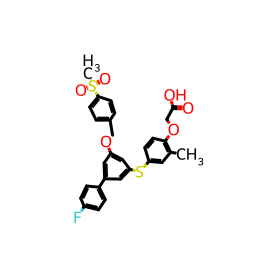 Cc1cc(Sc2cc(OCc3ccc(S(C)(=O)=O)cc3)cc(-c3ccc(F)cc3)c2)ccc1OCC(=O)O